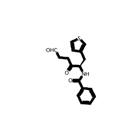 O=[C]CCC(=O)[C@@H](Cc1ccsc1)NC(=O)c1ccccc1